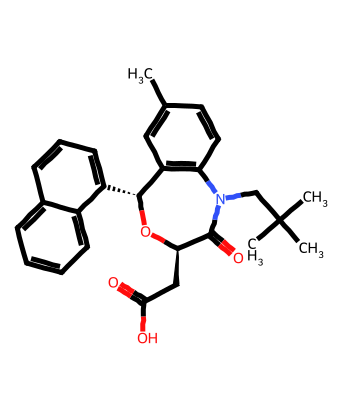 Cc1ccc2c(c1)[C@@H](c1cccc3ccccc13)O[C@H](CC(=O)O)C(=O)N2CC(C)(C)C